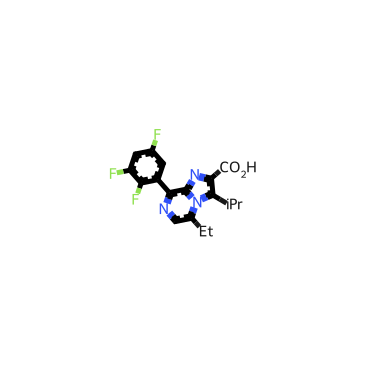 CCc1cnc(-c2cc(F)cc(F)c2F)c2nc(C(=O)O)c(C(C)C)n12